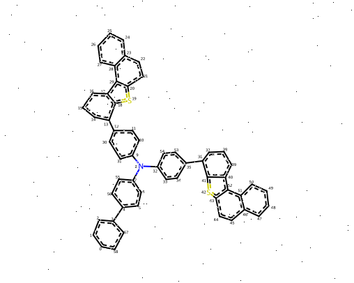 c1ccc(-c2ccc(N(c3ccc(-c4cccc5c4sc4ccc6ccccc6c45)cc3)c3ccc(-c4cccc5c4sc4ccc6ccccc6c45)cc3)cc2)cc1